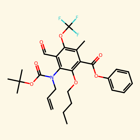 C=CCN(C(=O)OC(C)(C)C)c1c(C=O)c(OC(F)(F)F)c(C)c(C(=O)Oc2ccccc2)c1OCCCC